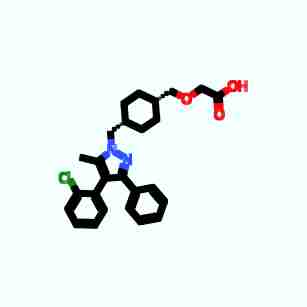 Cc1c(-c2ccccc2Cl)c(-c2ccccc2)nn1C[C@H]1CC[C@@H](COCC(=O)O)CC1